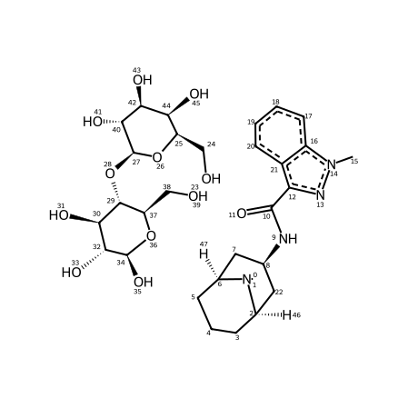 CN1[C@@H]2CCC[C@H]1C[C@@H](NC(=O)c1nn(C)c3ccccc13)C2.OC[C@H]1O[C@@H](O[C@H]2[C@H](O)[C@@H](O)[C@H](O)O[C@@H]2CO)[C@H](O)[C@@H](O)[C@H]1O